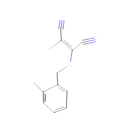 N#CC(F)=C(C#N)NCc1ccccc1Cl